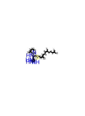 CC(C)=CCCC(C)=CCCC(C)=CCSCC(Nc1ncccc1C)C1=CNNN1